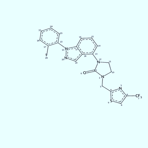 O=C1N(Cc2nc(C(F)(F)F)cs2)CCN1c1cccc2c1cnn2-c1ccccc1F